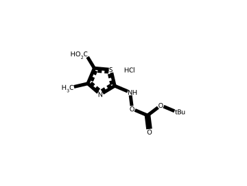 Cc1nc(NOC(=O)OC(C)(C)C)sc1C(=O)O.Cl